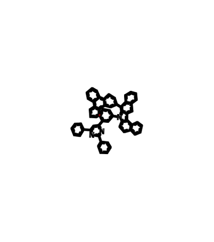 c1ccc(-c2cc(-c3cccc(-n4c5ccc6ccccc6c5c5cc6ccccc6c(-c6ccc7c8ccccc8c8ccccc8c7c6)c54)c3)nc(-c3ccccc3)n2)cc1